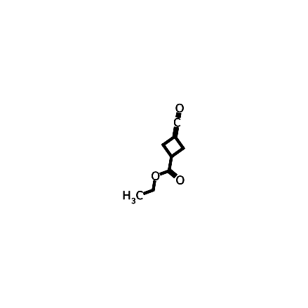 CCOC(=O)C1CC(=C=O)C1